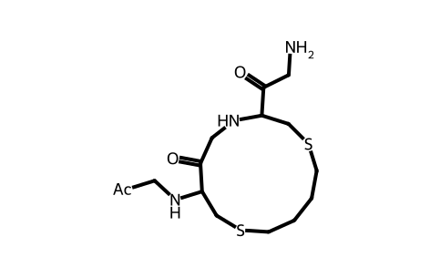 CC(=O)CNC1CSCCCCSCC(C(=O)CN)NCC1=O